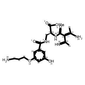 COC(=O)[C@H](CNC(=O)c1cc(O)cc(OCCCN)c1)NC(=O)/C(C(C)=N)=C(\C)N